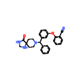 N#Cc1ccccc1Oc1cccc(C(c2ccccc2)N2CCC3(CC2)NCNC3=O)c1